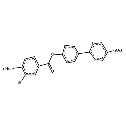 CCCCCCCCCc1ccc(C(=O)Oc2ccc(-c3ncc(CCCCCCCC)cn3)cc2)cc1Br